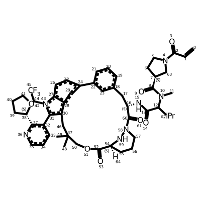 C=CC(=O)N1CC[C@H](C(=O)N(C)C(C(=O)N[C@H]2Cc3cccc(c3)-c3ccc4c(c3)c(c(-c3cccnc3[C@@H]3CCCO3)n4CC(F)(F)F)CC(C)(C)COC(=O)[C@@H]3CCCN(N3)C2=O)C(C)C)C1